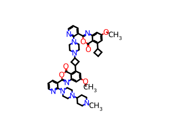 COc1cc(C2CCC2)c2c(=O)oc(-c3cccnc3N3CCN(C4CC(c5cc(OC)cc6nc(-c7cccnc7N7CCN(C8CCN(C)CC8)CC7)oc(=O)c56)C4)CC3)nc2c1